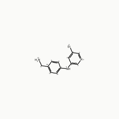 CCc1cncc(Nc2ccc(CN)cc2)c1